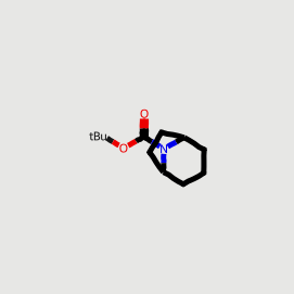 CC(C)(C)OC(=O)N1C2CCCC1CC2